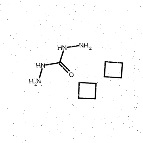 C1CCC1.C1CCC1.NNC(=O)NN